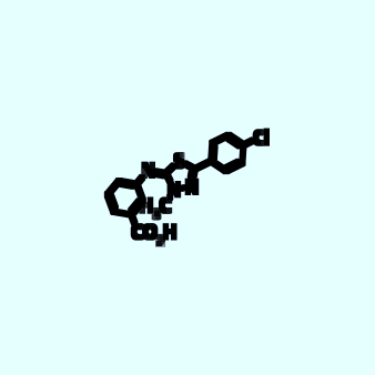 Cn1nc(-c2ccc(Cl)cc2)s/c1=N/c1cccc(C(=O)O)c1